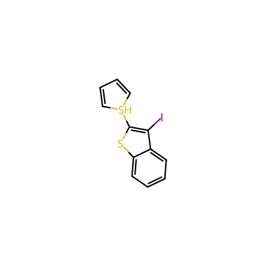 Ic1c([SH]2C=CC=C2)sc2ccccc12